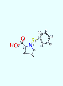 O=C(O)C1CCCN1Sc1ccccc1